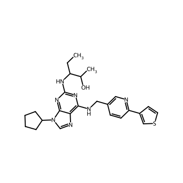 CCC(Nc1nc(NCc2ccc(-c3ccsc3)nc2)c2ncn(C3CCCC3)c2n1)C(C)O